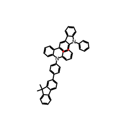 CC1(C)c2ccccc2-c2ccc(-c3ccc(N(c4ccccc4)c4ccccc4-c4ccc5c(c4)c4ccccc4n5-c4ccccc4)cc3)cc21